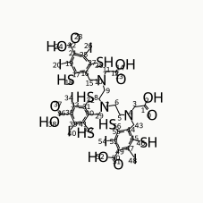 O=C(O)CN(CCN(CCN(CC(=O)O)Cc1c(S)c(I)c(C(=O)O)c(I)c1S)Cc1c(S)c(I)c(C(=O)O)c(I)c1S)Cc1c(S)c(I)c(C(=O)O)c(I)c1S